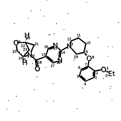 CCOc1ccccc1O[C@@H]1CCCN(c2ncc(C(=O)N3C[C@H]4C[C@@H]3CO4)cn2)C1